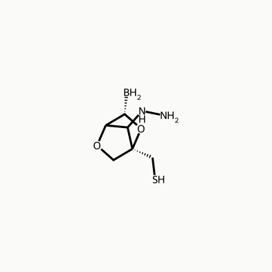 B[C@@H]1O[C@@]2(CS)COC1C2NN